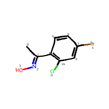 CC(=NO)c1ccc(Br)cc1Cl